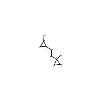 CC1CC1C[CH]C1(C)CC1